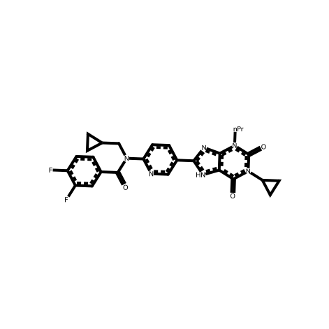 CCCn1c(=O)n(C2CC2)c(=O)c2[nH]c(-c3ccc(N(CC4CC4)C(=O)c4ccc(F)c(F)c4)nc3)nc21